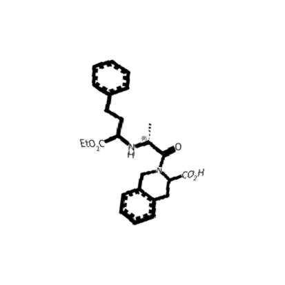 CCOC(=O)C(CCc1ccccc1)N[C@H](C)C(=O)N1Cc2ccccc2CC1C(=O)O